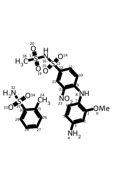 COc1cc(N)ccc1Nc1ccc(S(=O)(=O)NS(C)(=O)=O)cc1[N+](=O)[O-].Cc1ccccc1S(N)(=O)=O